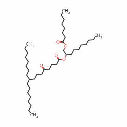 CCCCCCCCC(CCCCCCCC)CCCC(=O)CCCC(=O)OC(CCCCCCCC)COC(=O)CCCCCCC